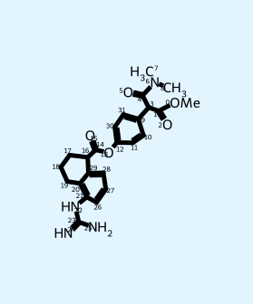 COC(=O)C(C(=O)N(C)C)c1ccc(OC(=O)C2CCCc3c(NC(=N)N)cccc32)cc1